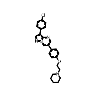 Clc1ccc(-c2cnn3cc(-c4ccc(OCCN5CCCCC5)cc4)cnc23)cc1